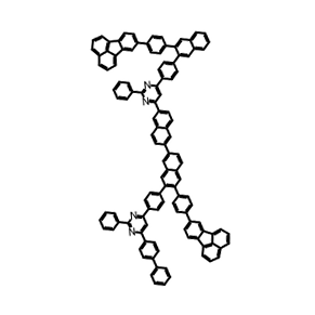 c1ccc(-c2ccc(-c3cc(-c4ccc(-c5cc6cc(-c7ccc8cc(-c9cc(-c%10ccc(-c%11cc%12ccccc%12cc%11-c%11ccc(-c%12ccc%13c(c%12)-c%12cccc%14cccc-%13c%12%14)cc%11)cc%10)nc(-c%10ccccc%10)n9)ccc8c7)ccc6cc5-c5ccc(-c6ccc7c(c6)-c6cccc8cccc-7c68)cc5)cc4)nc(-c4ccccc4)n3)cc2)cc1